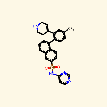 O=S(=O)(Nc1ccncn1)c1ccc2c(-c3ccc(C(F)(F)F)cc3C3=CCNCC3)cccc2c1